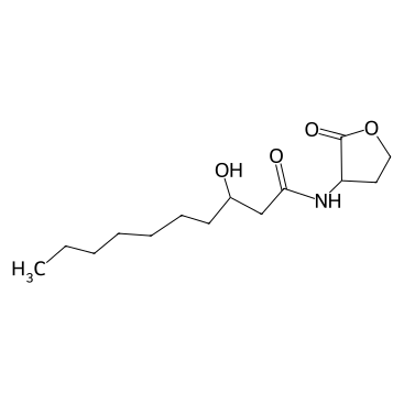 CCCCCCCC(O)CC(=O)NC1CCOC1=O